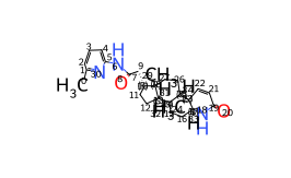 Cc1cccc(NC(=O)C[C@H]2CC[C@H]3[C@@H]4CC[C@H]5NC(=O)C=C[C@]5(C)[C@H]4CC[C@]23C)n1